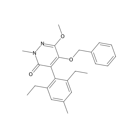 CCc1cc(C)cc(CC)c1-c1c(OCc2ccccc2)c(OC)nn(C)c1=O